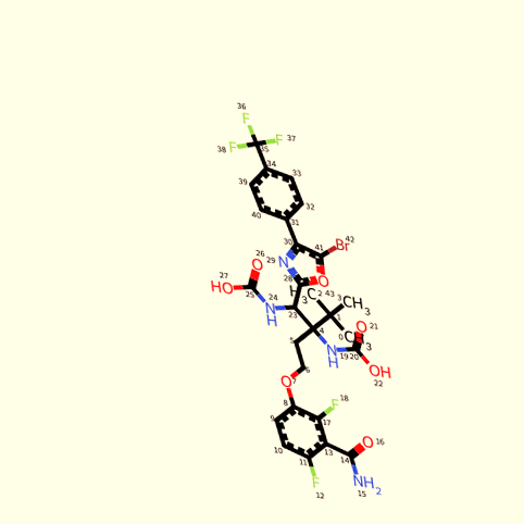 CC(C)(C)C(CCOc1ccc(F)c(C(N)=O)c1F)(NC(=O)O)C(NC(=O)O)c1nc(-c2ccc(C(F)(F)F)cc2)c(Br)o1